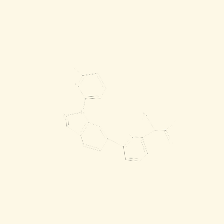 Cc1cccc(-n2ncc3ccc(-c4cccc(C(N)C(=O)O)n4)cc32)n1